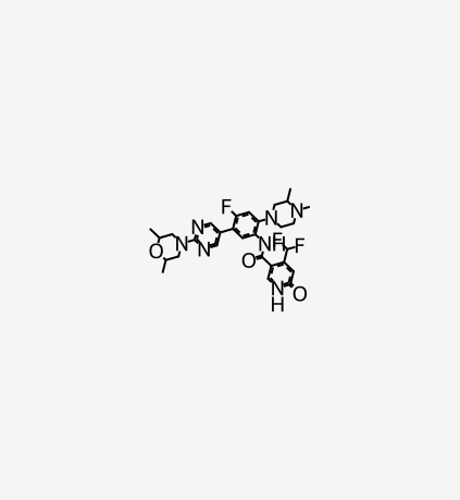 CC1CN(c2ncc(-c3cc(NC(=O)c4c[nH]c(=O)cc4C(F)F)c(N4CCN(C)C(C)C4)cc3F)cn2)CC(C)O1